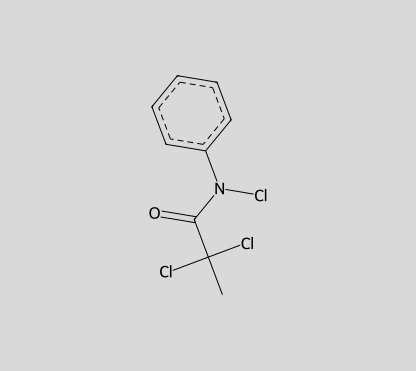 CC(Cl)(Cl)C(=O)N(Cl)c1ccccc1